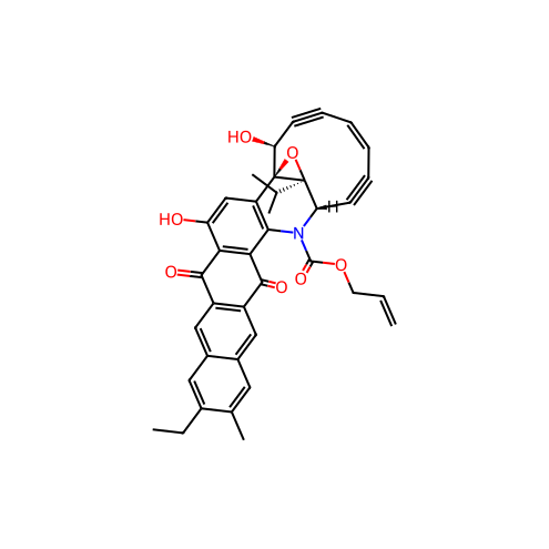 C=CCOC(=O)N1c2c(cc(O)c3c2C(=O)c2cc4cc(C)c(CC)cc4cc2C3=O)[C@@]23O[C@@]2(C(C)C)[C@@H]1C#C/C=C\C#C[C@@H]3O